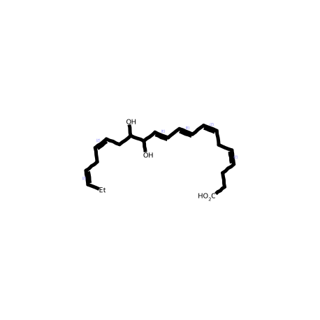 CC/C=C\C/C=C\CC(O)C(O)/C=C/C=C/C=C\C/C=C\CCC(=O)O